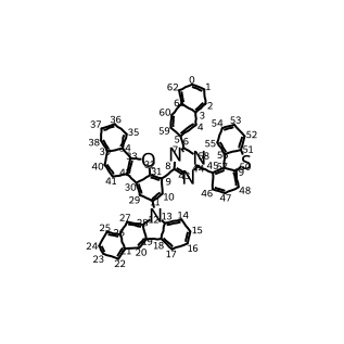 c1ccc2cc(-c3nc(-c4cc(-n5c6ccccc6c6cc7ccccc7cc65)cc5c4oc4c6ccccc6ccc54)nc(-c4cccc5sc6ccccc6c45)n3)ccc2c1